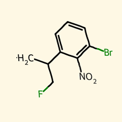 [CH2]C(CF)c1cccc(Br)c1[N+](=O)[O-]